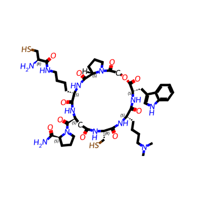 CN(C)CCCC[C@@H]1NC(=O)[C@H](CS)NC(=O)C[C@@H](C(=O)N2CCC[C@H]2C(N)=O)NC(=O)[C@H](CCCCNC(=O)[C@@H](N)CS)NC(=O)[C@@H]2CCCN2C(=O)COC(=O)[C@H](Cc2c[nH]c3ccccc23)NC1=O